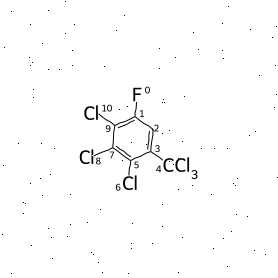 Fc1cc(C(Cl)(Cl)Cl)c(Cl)c(Cl)c1Cl